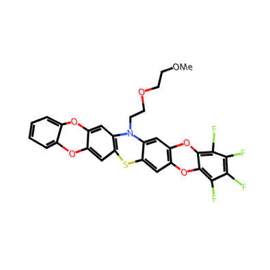 COCCOCCn1c2cc3oc4ccccc4oc3cc2sc2cc3oc4c(F)c(F)c(F)c(F)c4oc3cc21